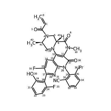 C=CC(=O)N1C[C@@H]2C(=O)N(C)c3c(c4cc(F)c(-c5c(O)cccc5F)nc4n(-c4c(C#N)cccc4C(C)C)c3=O)N2C[C@H]1C